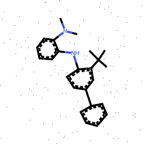 CN(C)c1ccccc1Nc1ccc(-c2ccccc2)cc1C(C)(C)C